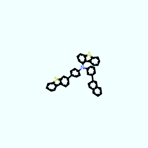 c1cc(-c2ccc3ccccc3c2)cc(N(c2ccc(-c3ccc4c(c3)sc3ccccc34)cc2)c2cccc3sc4ccccc4c23)c1